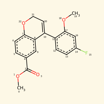 COC(=O)c1ccc2c(c1)C(c1ccc(F)cc1OC)=CCO2